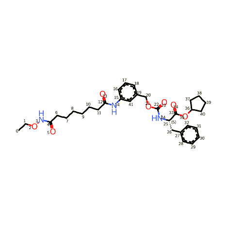 CCONC(=O)CCCCCCC(=O)Nc1cccc(COC(=O)N[C@@H](Cc2ccccc2)C(=O)OC2CCCC2)c1